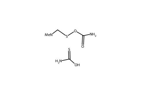 CNCSOC(N)=O.NC(O)=S